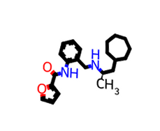 C[C@@H](CC1CCCCCC1)NCc1ccccc1NC(=O)c1ccco1